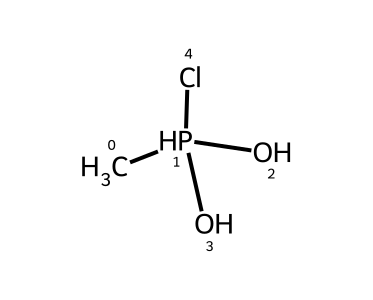 C[PH](O)(O)Cl